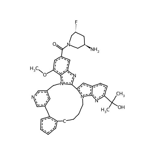 COc1cc(C(=O)N2C[C@H](N)C[C@@H](F)C2)cc2nc3n(c12)Cc1cncc(c1)-c1ccccc1CCCCn1c-3cc2ccc(C(C)(C)O)nc21